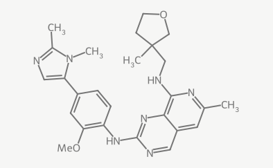 COc1cc(-c2cnc(C)n2C)ccc1Nc1ncc2cc(C)nc(NCC3(C)CCOC3)c2n1